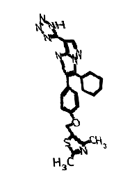 Cc1nc(C)c(COc2ccc(-c3cnc4c(-c5nnn[nH]5)cnn4c3C3CCCCC3)cc2)s1